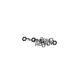 O=C(NCc1ccc(/C=C/c2ccccc2)cc1)[C@H](O)[C@@H](O)C(=O)N1CCN(c2ccccc2Cl)CC1